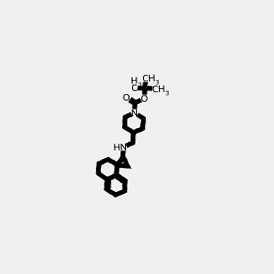 CC(C)(C)OC(=O)N1CCC(CNC2CC23CCCC2=CCCC=C23)CC1